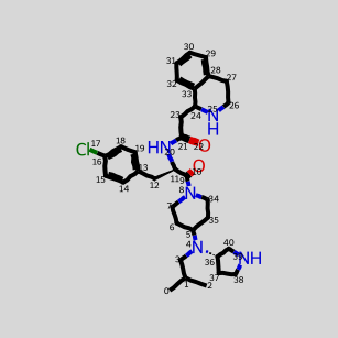 CC(C)CN(C1CCN(C(=O)[C@@H](Cc2ccc(Cl)cc2)NC(=O)CC2NCCc3ccccc32)CC1)[C@H]1CCNC1